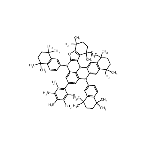 Bc1c(B)c(B)c(-c2cc3c4c(c2)N(c2ccc5c(c2)C(C)(C)CCC5(C)C)c2oc5c(c2B4c2cc4c(cc2N3c2ccc3c(c2)C(C)(C)CCC3(C)C)C(C)(C)CCC4(C)C)C(C)(C)CCC5(C)C)c(B)c1B